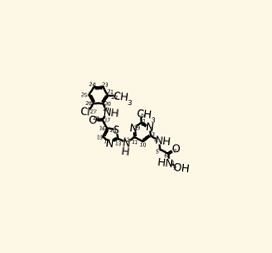 Cc1nc(NCC(=O)NO)cc(Nc2ncc(C(=O)Nc3c(C)cccc3Cl)s2)n1